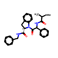 CNC(C)C(=O)NC(C(=O)N1c2ccccc2C[C@H]1C(=O)NCc1ccccc1)c1ccccc1